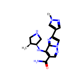 CCn1cc(-c2cn3ncc(C(N)=O)c(N[C@@H]4CNC[C@@H]4C)c3n2)cn1